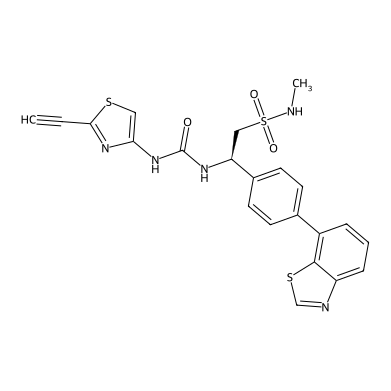 C#Cc1nc(NC(=O)N[C@@H](CS(=O)(=O)NC)c2ccc(-c3cccc4ncsc34)cc2)cs1